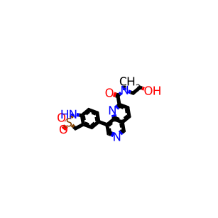 CN(CCO)C(=O)c1ccc2cncc(-c3ccc4c(c3)CS(=O)(=O)N4)c2n1